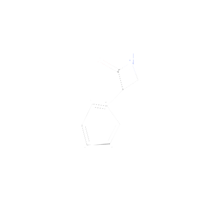 O=C1NCC1c1ccccc1